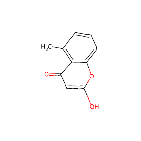 Cc1cccc2oc(O)cc(=O)c12